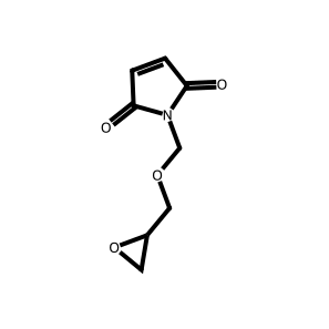 O=C1C=CC(=O)N1COCC1CO1